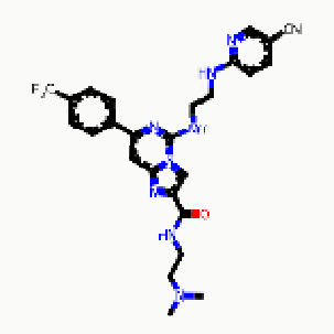 CN(C)CCNC(=O)c1cn2c(NCCNc3ccc(C#N)cn3)nc(-c3ccc(C(F)(F)F)cc3)cc2n1